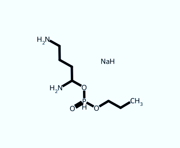 CCCO[PH](=O)OC(N)CCCN.[NaH]